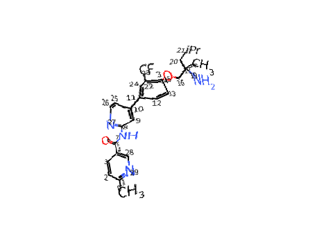 Cc1ccc(C(=O)Nc2cc(-c3ccc(OCC(C)(N)CC(C)C)c(C(F)(F)F)c3)ccn2)cn1